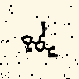 COC(=O)c1ccc(-c2ccccc2C#N)c(CN=[N+]=[N-])c1